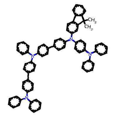 CC1(C)c2ccccc2-c2ccc(N(c3ccc(-c4ccc(N(c5ccccc5)c5ccc(-c6ccc(N(c7ccccc7)c7ccccc7)cc6)cc5)cc4)cc3)c3ccc(N(c4ccccc4)c4ccccc4)cc3)cc21